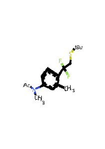 CC(=O)N(C)c1ccc(C(F)(F)CSC(C)(C)C)c(C)c1